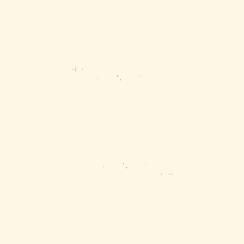 O=C1c2ccc3c4ccc5c6c(ccc(c7ccc(c2c37)C(=O)N1c1ccccc1CCO)c64)C(=O)N(c1ccccc1CCO)C5=O